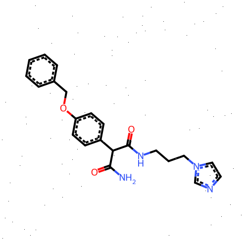 NC(=O)C(C(=O)NCCCn1ccnc1)c1ccc(OCc2ccccc2)cc1